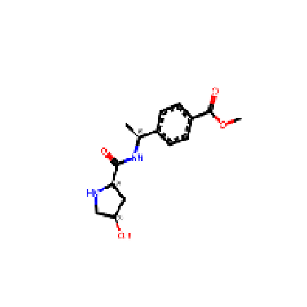 COC(=O)c1ccc([C@H](C)NC(=O)[C@H]2C[C@@H](O)CN2)cc1